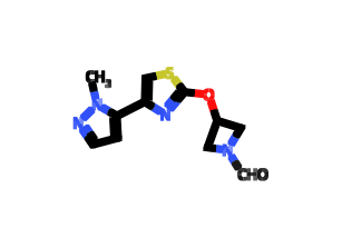 Cn1nccc1-c1csc(OC2CN(C=O)C2)n1